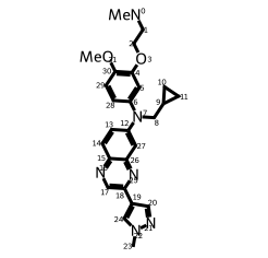 CNCCOc1cc(N(CC2CC2)c2ccc3ncc(-c4cnn(C)c4)nc3c2)ccc1OC